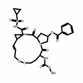 CC(C)(C)OC(=O)NC1CCCOC/C=C/C2CC2(C(=O)NS(=O)(=O)C2CC2)NC(=O)C2CC(OC(=O)c3ccccc3)CN2C1=O